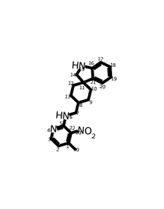 Cc1ccnc(NCC2CCC3(CC2)CNc2ccccc23)c1[N+](=O)[O-]